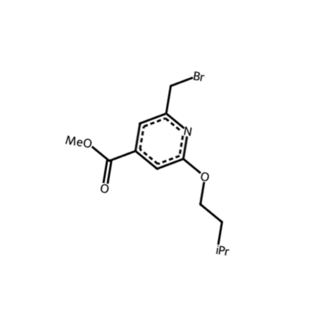 COC(=O)c1cc(CBr)nc(OCCC(C)C)c1